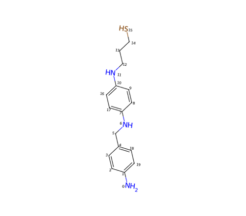 Nc1ccc(CNc2ccc(NCCCS)cc2)cc1